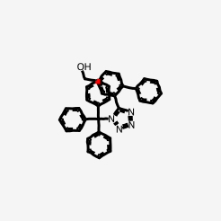 OCc1ccc(-c2ccccc2)c(-c2nnnn2C(c2ccccc2)(c2ccccc2)c2ccccc2)c1